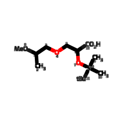 COC(C)COCC(O[Si](C)(C)C(C)(C)C)C(=O)O